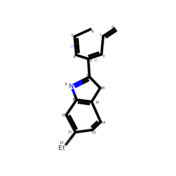 C=C/C=C(\C=C/C)C1=Nc2cc(CC)ccc2C1